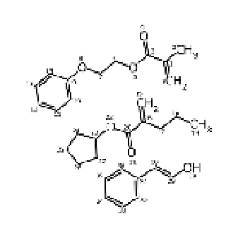 C=C(C)C(=O)OCCOc1ccccc1.C=C(CCC)C(=O)OC1CCCC1.OC=Cc1ccccc1